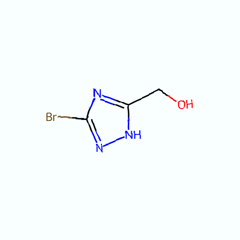 OCc1nc(Br)n[nH]1